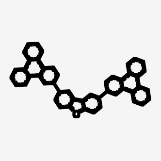 c1ccc2c(c1)c1ccccc1c1cc(-c3ccc4oc5ccc(-c6ccc7c8ccccc8c8ccccc8c7c6)cc5c4c3)ccc21